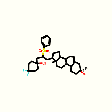 CC[C@]1(O)CCC2C(=CCC3C2CCC2(C)C(CC(CC4(O)CCC(F)(F)CC4)S(=O)(=O)c4ccccc4)CCC32)C1